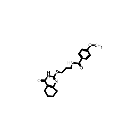 COc1ccc(C(=O)NCCCSc2nc3c(c(=O)[nH]2)CCCC3)cc1